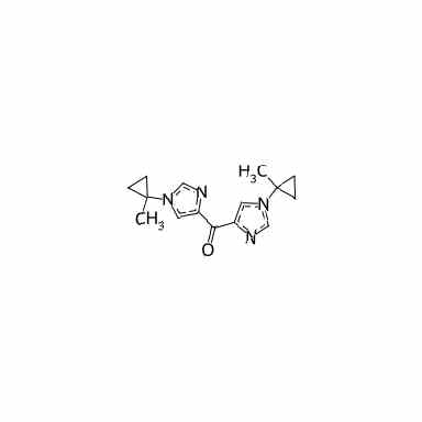 CC1(n2cnc(C(=O)c3cn(C4(C)CC4)cn3)c2)CC1